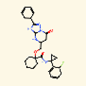 O=C1CC(COC2(C(=O)NC3(C4=CC=CCC4F)CC3)CCCCC2)NC2NC(C3C=CC=CC3)=NN12